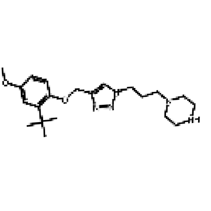 COc1ccc(OCc2cn(CCCN3CCNCC3)nn2)c(C(C)(C)C)c1